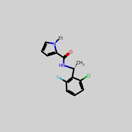 CCn1cccc1C(=O)N[C@H](C)c1c(F)cccc1Cl